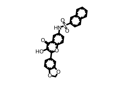 O=c1c(O)c(-c2ccc3c(c2)OCO3)oc2ccc(NS(=O)(=O)c3ccc4ccccc4c3)cc12